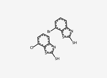 Sc1nc2cccc(Br)c2s1.Sc1nc2cccc(Cl)c2s1